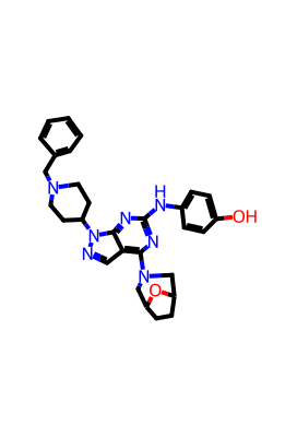 Oc1ccc(Nc2nc(N3CC4CCC(C3)O4)c3cnn(C4CCN(Cc5ccccc5)CC4)c3n2)cc1